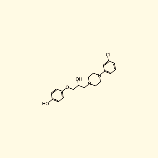 Oc1ccc(OC[C@H](O)CN2CCN(c3cccc(Cl)c3)CC2)cc1